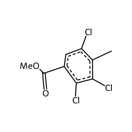 COC(=O)c1cc(Cl)c(C)c(Cl)c1Cl